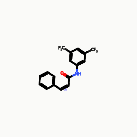 O=C(/C=C\c1ccccc1)Nc1cc(C(F)(F)F)cc(C(F)(F)F)c1